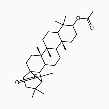 CC(=O)OC1CC[C@@]2(C)C(CC[C@]3(C)C2CCC2C4C5OC(=O)C4(CCC5(C)C)CC[C@@]23C)C1(C)C